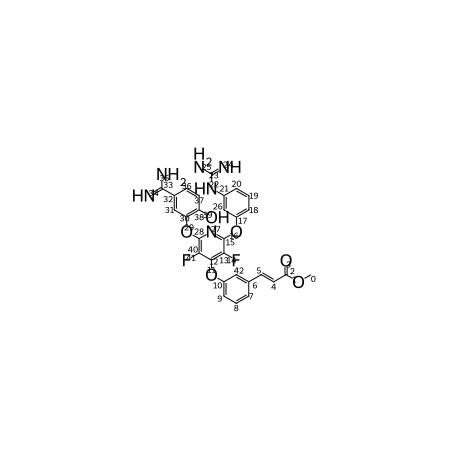 COC(=O)/C=C/c1cccc(Oc2c(F)c(Oc3cccc(NC(=N)N)c3)nc(Oc3cc(C(=N)N)ccc3O)c2F)c1